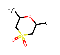 CC1CS(=O)(=O)CC(C)O1